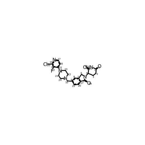 O=C1CCC(N2Cc3cc(CN4CCN(c5ccnc(Cl)c5F)CC4)ccc3C2=O)C(=O)N1